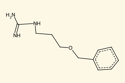 N=C(N)NCCCOCc1ccccc1